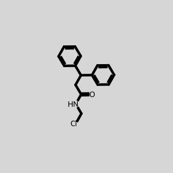 O=C(CC(c1ccccc1)c1ccccc1)NCCl